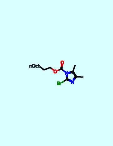 CCCCCCCCCCOC(=O)n1c(Br)nc(C)c1C